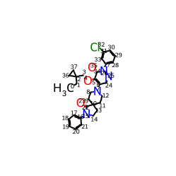 CCC1(COc2c(N3CCC4(CC3)CCN(c3ccccc3)C4=O)cnn(-c3cccc(Cl)c3)c2=O)CC1